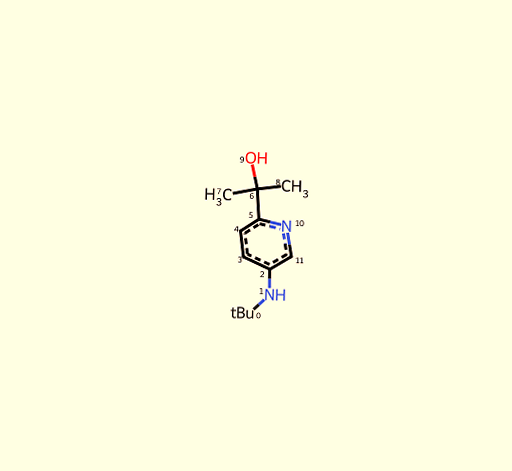 CC(C)(C)Nc1ccc(C(C)(C)O)nc1